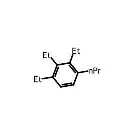 CCCc1ccc(CC)c(CC)c1CC